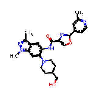 Cc1cc(C2NC(C(=O)Nc3cc4c(C)nn(C)c4cc3N3CCC(CO)CC3)=CO2)ccn1